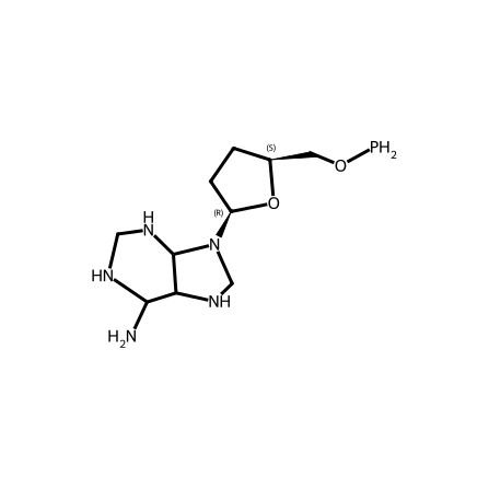 NC1NCNC2C1NCN2[C@H]1CC[C@@H](COP)O1